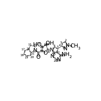 Cn1ccc(-c2cn([C@@H]3O[C@H](C(=O)N4CCc5ccccc54)[C@@H](O)[C@H]3O)c3ncnc(N)c23)n1